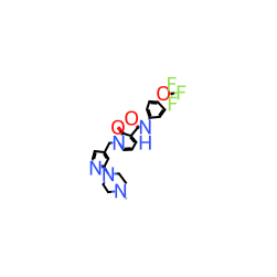 CN1CCN(c2cc(Cn3cccc(C(=O)Nc4ccc(OC(F)(F)F)cc4)c3=O)ccn2)CC1